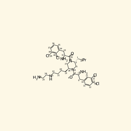 CC(C)C[C@@H]1CN(C(=O)C(N)Cc2ccc(Cl)c(Cl)c2)[C@@H](CCCCNCCN)CN1C(=O)C(N)Cc1cccc(Cl)c1Cl